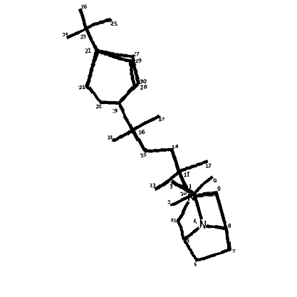 CC(C)(C)N1C2CCC1CN(C(C)(C)CCC(C)(C)C13CCC(C(C)(C)C)(CC1)CC3)C2